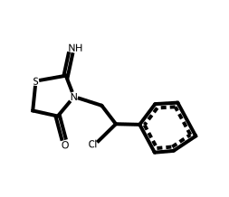 N=C1SCC(=O)N1CC(Cl)c1ccccc1